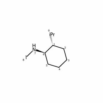 CC(C)[C@@H]1CCCC[C@H]1NI